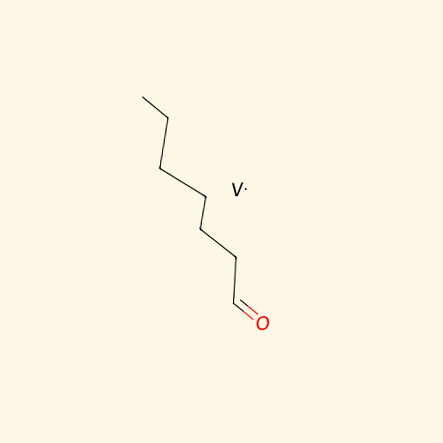 CCCCCCC=O.[V]